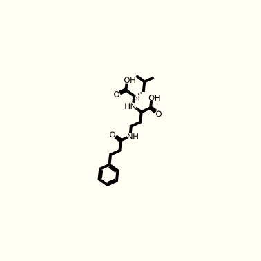 CC(C)C[C@H](NC(CCNC(=O)CCc1ccccc1)C(=O)O)C(=O)O